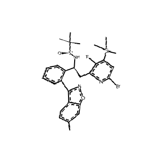 Cc1ccc2c(-c3ccccc3[C@H](Cc3nc(Br)cc([Si](C)(C)C)c3F)N[S@@+]([O-])C(C)(C)C)noc2c1